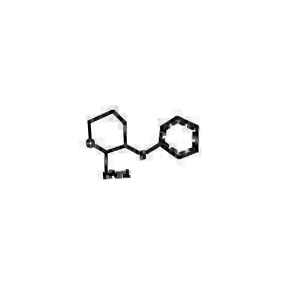 CCCCCC1OCCCC1Sc1ccccc1